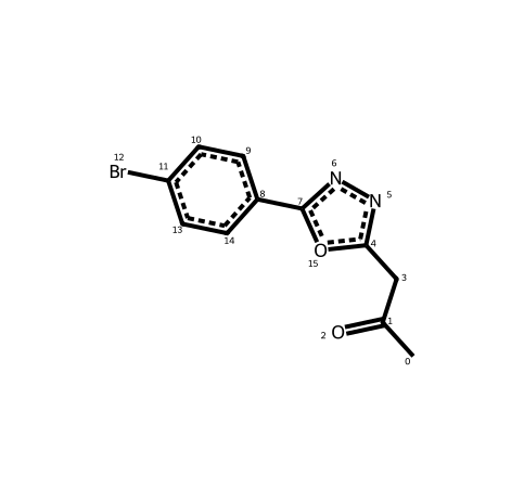 CC(=O)Cc1nnc(-c2ccc(Br)cc2)o1